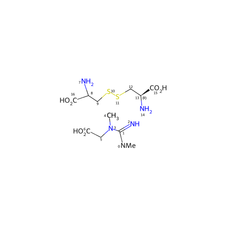 CNC(=N)N(C)CC(=O)O.NC(CSSC[C@H](N)C(=O)O)C(=O)O